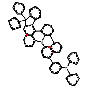 c1ccc(-c2cccc(-c3cccc4c3-c3ccccc3C4(c3ccccc3)c3ccccc3)c2N(c2ccccc2)c2ccc(-c3cccc(N(c4ccccc4)c4ccccc4)c3)cc2)cc1